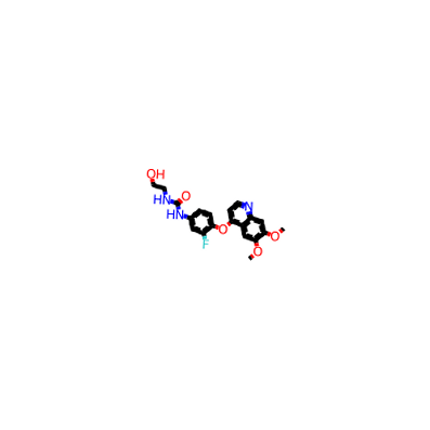 COc1cc2nccc(Oc3ccc(NC(=O)NCCO)cc3F)c2cc1OC